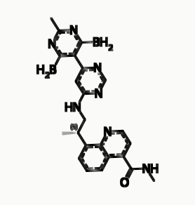 Bc1nc(C)nc(B)c1-c1cc(NC[C@@H](C)c2cccc3c(C(=O)NC)ccnc23)ncn1